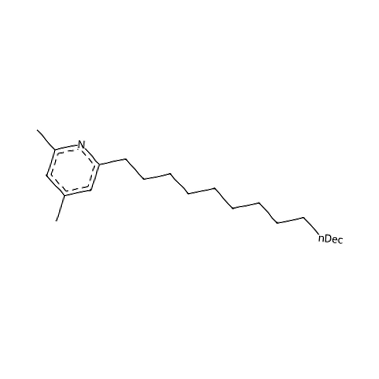 CCCCCCCCCCCCCCCCCCCc1cc(C)cc(C)n1